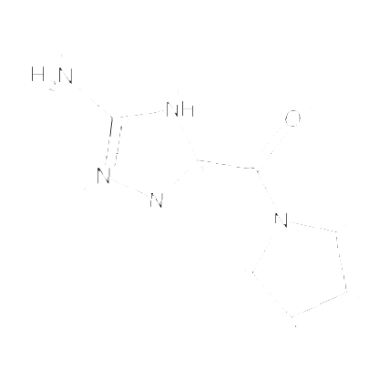 Nc1nnc(C(=O)N2CCCC2)[nH]1